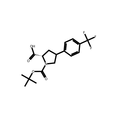 CC(C)(C)OC(=O)N1CC(c2ccc(C(F)(F)F)cc2)C[C@H]1C(=O)O